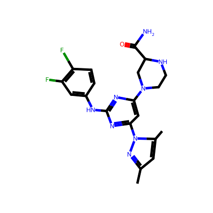 Cc1cc(C)n(-c2cc(N3CCNC(C(N)=O)C3)nc(Nc3ccc(F)c(F)c3)n2)n1